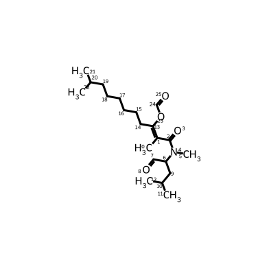 C/C(C(=O)N(C)C(C=O)CC(C)C)=C(\CCCCCCC(C)C)OC=O